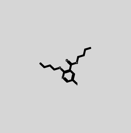 CCCCOC(=O)c1cc(I)cnc1OCCCC